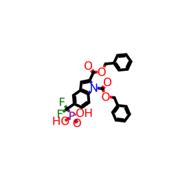 O=C(OCc1ccccc1)c1cc2cc(C(F)(F)P(=O)(O)O)ccc2n1C(=O)OCc1ccccc1